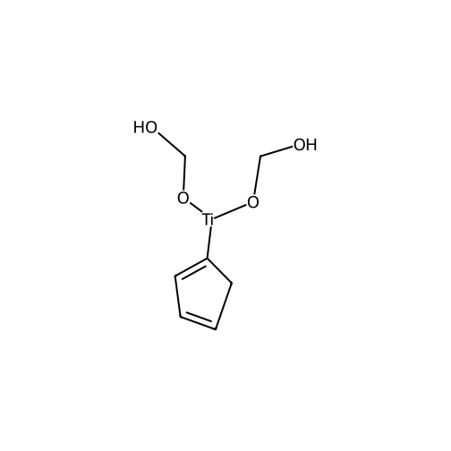 OC[O][Ti]([O]CO)[C]1=CC=CC1